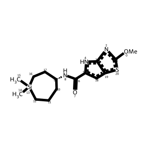 COc1nc2[nH]c(C(=O)N[C@@H]3CCC[Si](C)(C)CC3)cc2s1